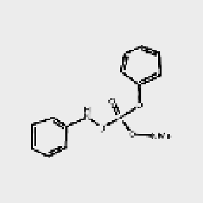 CNOP(=O)(ONc1ccccc1)Oc1ccccc1